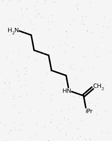 C=C(NCCCCCN)C(C)C